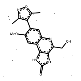 COc1cc2c(cc1-c1c(C)noc1C)nc(CO)c1oc(=O)[nH]c12